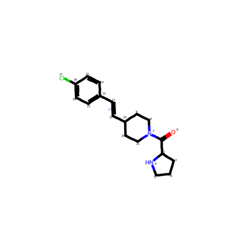 O=C(C1CCCN1)N1CCC(/C=C/c2ccc(Cl)cc2)CC1